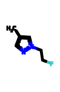 Cc1cnn(CCF)c1